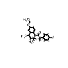 CCOc1ccc2c(c1)C(C)=CC(C)(C)N2C(=O)Nc1ccc(Cl)cc1